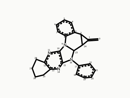 C=C1C2c3ccccc3N3c4nc5c(nc4N(c4ccccc4)C3C12)CCCC5